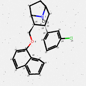 CN1C2CCC1[C@H](COc1cccc3ccccc13)[C@@H](c1cccc(Cl)c1)C2